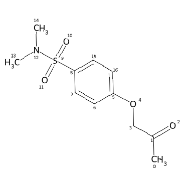 CC(=O)COc1ccc(S(=O)(=O)N(C)C)cc1